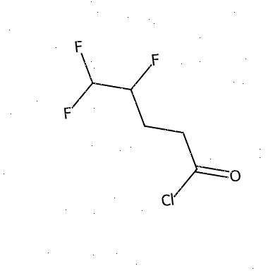 O=C(Cl)CCC(F)C(F)F